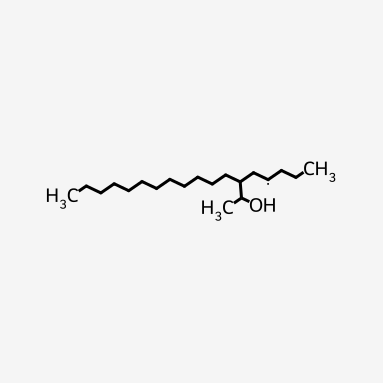 CCC[CH]CC(CCCCCCCCCCCC)C(C)O